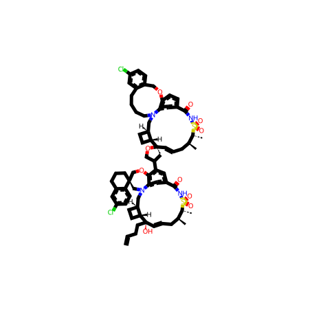 C=CCC[C@]1(O)/C=C/C[C@H](C)[C@@H](C)S(=O)(=O)NC(=O)c2cc(C3CO[C@@]4(/C=C/C[C@H](C)[C@@H](C)S(=O)(=O)NC(=O)c5ccc6c(c5)N(CCCCc5cc(Cl)ccc5CO6)C[C@@H]5CC[C@H]54)C3)c3c(c2)N(C[C@@H]2CC[C@H]21)C[C@@]1(CCCc2cc(Cl)ccc21)CO3